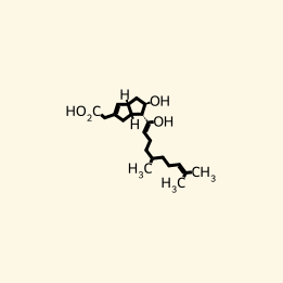 CC(C)=CCCC(C)CCC=C(O)[C@@H]1[C@@H]2CC(CC(=O)O)=C[C@@H]2C[C@H]1O